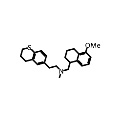 COc1cccc2c1CCCC2CN(C)CCc1ccc2c(c1)CCCS2